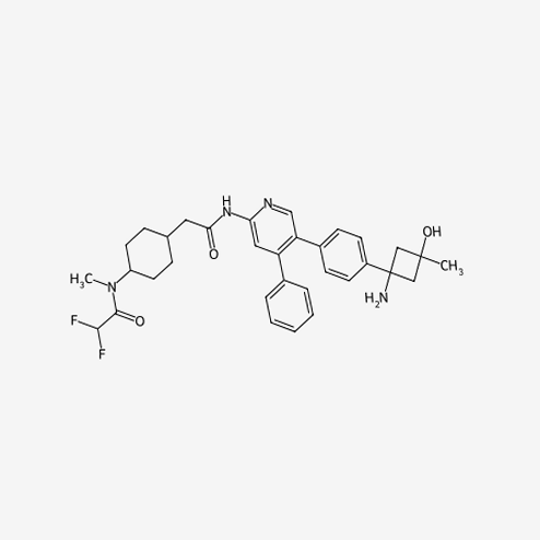 CN(C(=O)C(F)F)C1CCC(CC(=O)Nc2cc(-c3ccccc3)c(-c3ccc(C4(N)CC(C)(O)C4)cc3)cn2)CC1